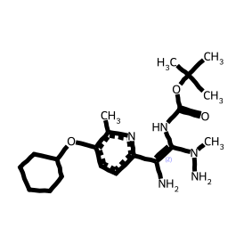 Cc1nc(/C(N)=C(\NC(=O)OC(C)(C)C)N(C)N)ccc1OC1CCCCC1